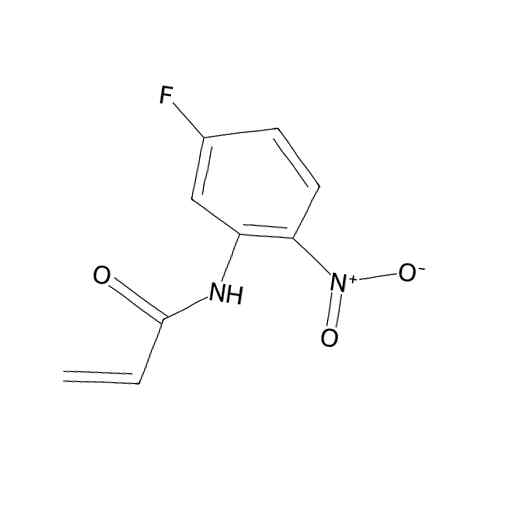 C=CC(=O)Nc1cc(F)ccc1[N+](=O)[O-]